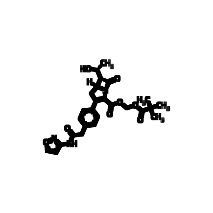 C[C@@H](O)[C@H]1C(=O)N2C(C(=O)OCOC(=O)C(C)(C)C)=C(c3ccc(CC(=O)Nc4ccon4)cc3)C[C@H]12